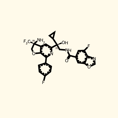 N[C@@]1(C(F)(F)F)COc2c1cc([C@@](O)(CNC(=O)c1cc(F)c3ncoc3c1)C1CC1)nc2-c1ccc(F)cc1